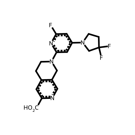 O=C(O)c1cc2c(cn1)CN(c1cc(N3CCC(F)(F)C3)cc(F)n1)CC2